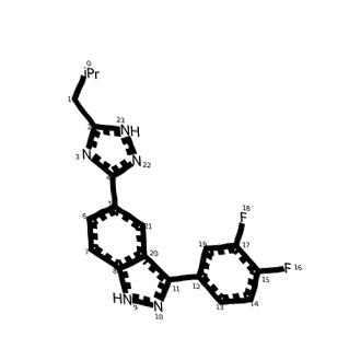 CC(C)Cc1nc(-c2ccc3[nH]nc(-c4ccc(F)c(F)c4)c3c2)n[nH]1